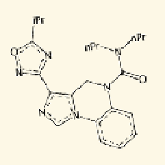 CCCN(CCC)C(=O)N1Cc2c(-c3noc(C(C)C)n3)ncn2-c2ccccc21